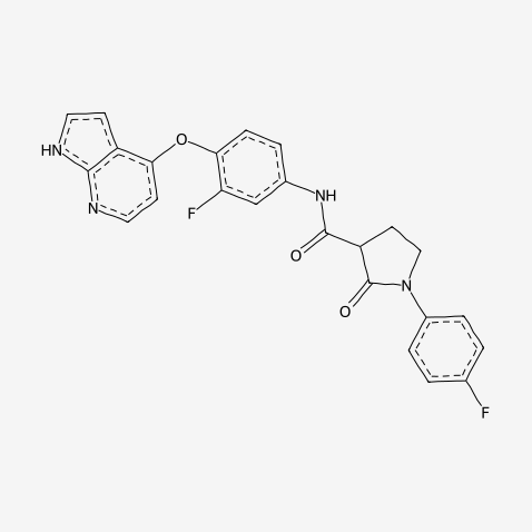 O=C(Nc1ccc(Oc2ccnc3[nH]ccc23)c(F)c1)C1CCN(c2ccc(F)cc2)C1=O